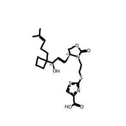 CC(C)=CCCC1([C@H](O)C=C[C@H]2COC(=O)N2CCSc2nc(C(=O)O)cs2)CCC1